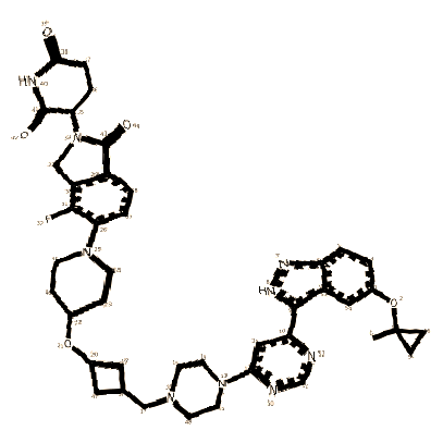 CC1(Oc2ccc3n[nH]c(-c4cc(N5CCN(CC6CC(OC7CCN(c8ccc9c(c8F)CN(C8CCC(=O)NC8=O)C9=O)CC7)C6)CC5)ncn4)c3c2)CC1